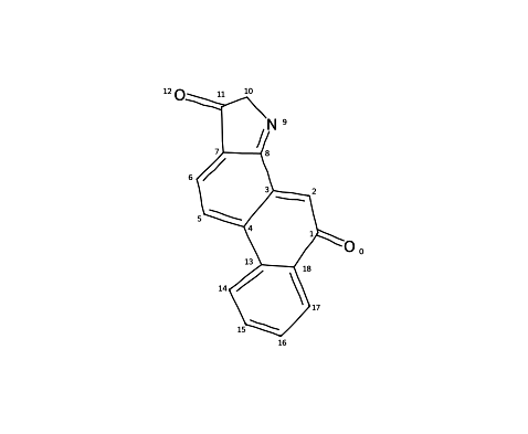 O=C1C=c2c(ccc3c2=NCC3=O)-c2ccccc21